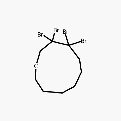 BrC1(Br)CCCCCCCCC1(Br)Br